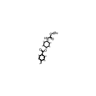 Cc1ccc(C(=O)O[C@H]2CC[C@H](NC(=O)OC(C)(C)C)CC2)cc1